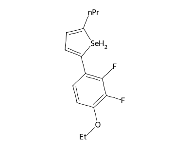 CCCC1=CC=C(c2ccc(OCC)c(F)c2F)[SeH2]1